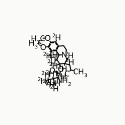 [2H]c1c2c(c([2H])c(OC)c1OC)C1([2H])N(CC2)C([2H])([2H])C([2H])(CC(C)C)C([2H])(OC(=O)[C@@]([2H])(N)C([2H])(C([2H])([2H])[2H])C([2H])([2H])[2H])C1([2H])[2H]